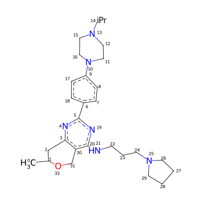 CC1Cc2nc(-c3ccc(N4CCN(C(C)C)CC4)cc3)nc(NCCCN3CCCC3)c2CO1